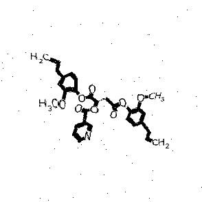 C=CCc1ccc(OC(=O)C[C@H](OC(=O)c2cccnc2)C(=O)Oc2ccc(CC=C)cc2OC)c(OC)c1